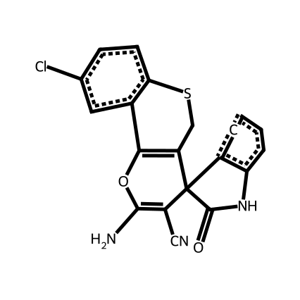 N#CC1=C(N)OC2=C(CSc3ccc(Cl)cc32)C12C(=O)Nc1ccccc12